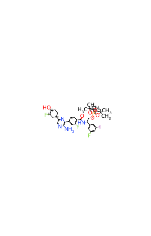 CC(C)(C)OP(=O)(OCC(NC(=O)c1ccc(-c2nc([C@@H]3CC[C@@H](O)[C@H](F)C3)cnc2N)cc1F)c1cc(F)cc(I)c1)OC(C)(C)C